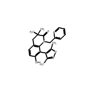 COc1ccc2c(c1-c1c(C)noc1C)N(Cc1ccccn1)C(=O)C(C)(C)C2